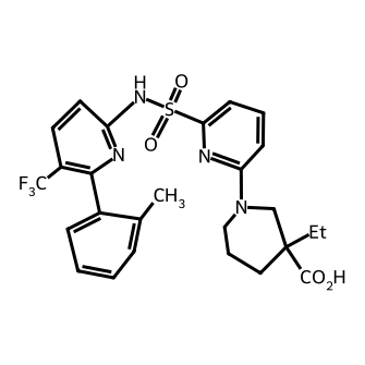 CCC1(C(=O)O)CCCN(c2cccc(S(=O)(=O)Nc3ccc(C(F)(F)F)c(-c4ccccc4C)n3)n2)C1